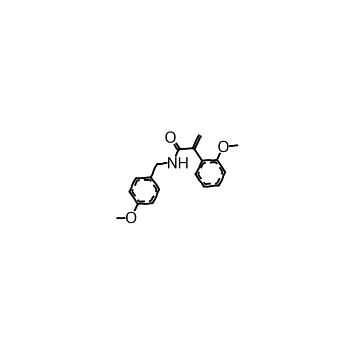 C=C(C(=O)NCc1ccc(OC)cc1)c1ccccc1OC